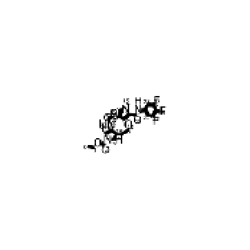 CCOC(=O)N1C[C@H]2CCOc3c(cn(C)c3C(=O)Nc3cc(F)c(F)c(F)c3)S(=O)(=O)N[C@@H]2C1